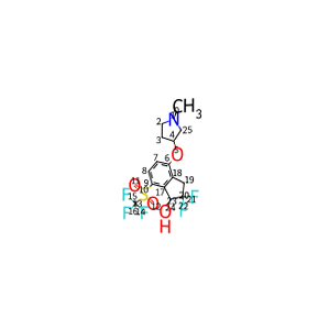 CN1CCC(Oc2ccc(S(=O)(=O)C(F)(F)F)c3c2CC(F)(F)C3O)C1